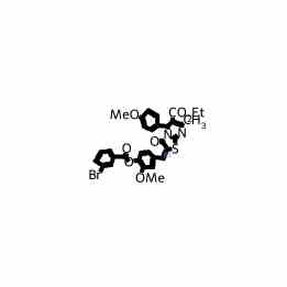 CCOC(=O)C1=C(C)N=c2s/c(=C/c3ccc(OC(=O)c4cccc(Br)c4)c(OC)c3)c(=O)n2C1c1ccc(OC)cc1